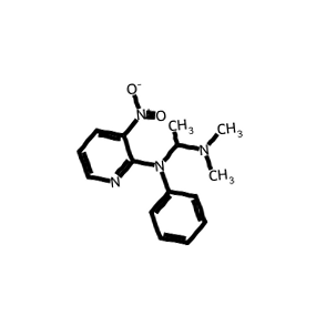 CC(N(C)C)N(c1ccccc1)c1ncccc1[N+](=O)[O-]